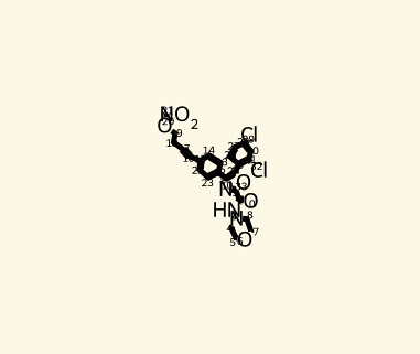 O=C(NN1CCOCC1)c1nc(-c2ccc(C#CCCO[N+](=O)[O-])cc2)c(-c2ccc(Cl)cc2Cl)o1